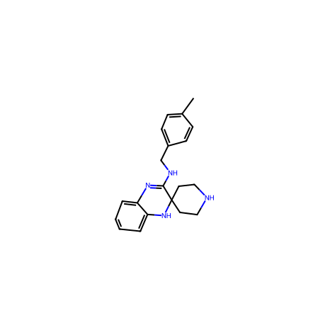 Cc1ccc(CNC2=Nc3ccccc3NC23CCNCC3)cc1